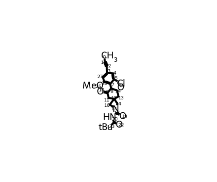 CC#Cc1cc(Cl)c(C2C(=O)CC3(CC2=O)CN(C(=O)NC(=O)C(C)(C)C)C3)c(OC)c1